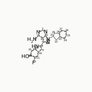 Nc1ncnc2c1c(-c1cc3cc(F)c(O)cc3[nH]1)nn2C1Cc2ccccc2C1